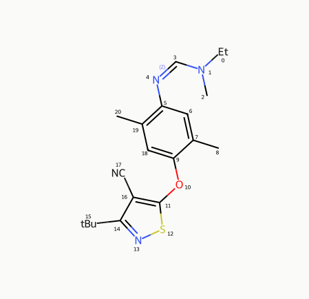 CCN(C)/C=N\c1cc(C)c(Oc2snc(C(C)(C)C)c2C#N)cc1C